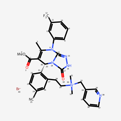 COC(=O)C1=C(C)N(c2cccc(C(F)(F)F)c2)c2n[nH]c(=O)n2[C@@H]1c1ccc(C#N)cc1CC[N+](C)(C)Cc1cccnc1.[Br-]